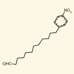 O=[C]CCCCCCCCCCCc1ccc([N+](=O)[O-])cc1